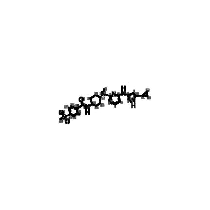 CN(c1nccc(Nc2cc(C3CC3)[nH]n2)n1)[C@H]1CC[C@H](NC(=O)c2ccc(S(C)(=O)=O)cn2)CC1